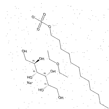 CCCCCCCCCCCCOS(=O)(=O)[O-].CCOCC.OC[C@@H](O)[C@@H](O)[C@H](O)[C@@H](O)CO.[Na+]